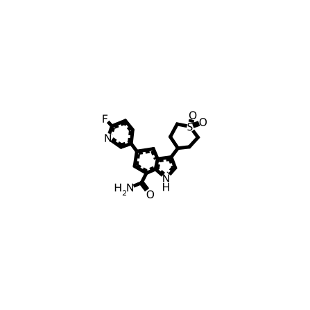 NC(=O)c1cc(-c2ccc(F)nc2)cc2c(C3CCS(=O)(=O)CC3)c[nH]c12